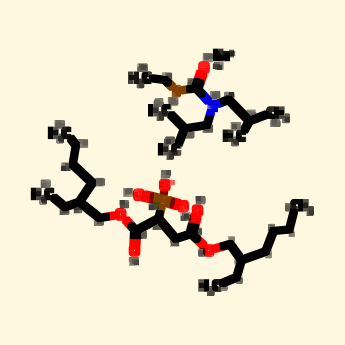 CCCCC(CC)COC(=O)CC(C(=O)OCC(CC)CCCC)S(=O)(=O)[O-].CCSC(=O)N(CC(C)C)CC(C)C.[Na+]